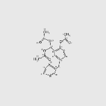 CC(=O)Oc1ccc(Cc2ccccc2)cc1C(OC(C)=O)OC(C)=O